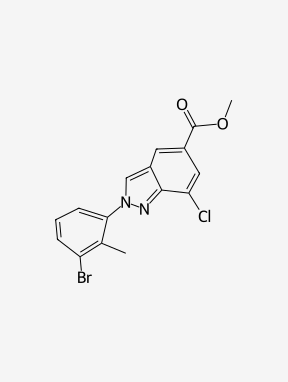 COC(=O)c1cc(Cl)c2nn(-c3cccc(Br)c3C)cc2c1